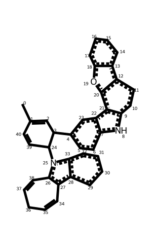 CC1=CC(c2ccc3[nH]c4ccc5c6ccccc6oc5c4c3c2)C(n2c3c(c4ccccc42)C=CCC=C3)C=C1